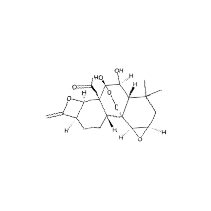 C=C1O[C@@H]2[C@H]1CC[C@H]1[C@@]34CO[C@@](O)([C@@H](O)[C@@H]3C(C)(C)C[C@H]3O[C@H]34)[C@@]21C(C)=O